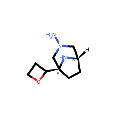 NN1C[C@@H]2CC[C@](C3CCO3)(C1)N2